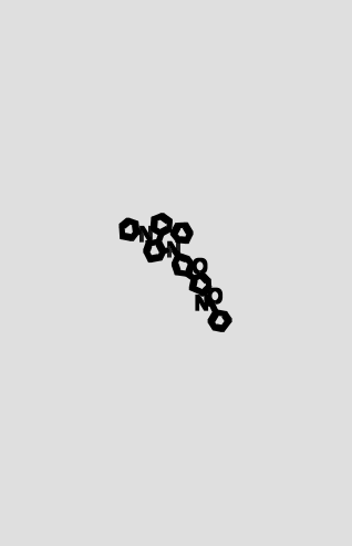 c1ccc(-c2nc3cc4c(cc3o2)oc2cc(N(c3ccccc3)c3cccc5c3c3ccccc3n5-c3ccccc3)ccc24)cc1